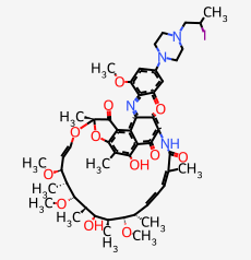 COc1cc(N2CCN(CC(C)I)CC2)cc2oc3c4c(=O)c5c(O)c(C)c6c(c5c-3nc12)C(=O)[C@@](C)(O/C=C/[C@H](OC)[C@@H](C)[C@@H](OC)[C@H](C)[C@H](O)[C@H](C)[C@@H](OC)[C@@H](C)/C=C/C=C(/C)C(=O)N4)O6